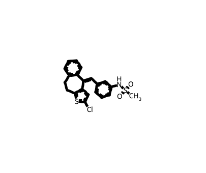 CS(=O)(=O)Nc1cccc(C=C2c3ccccc3CCc3sc(Cl)cc32)c1